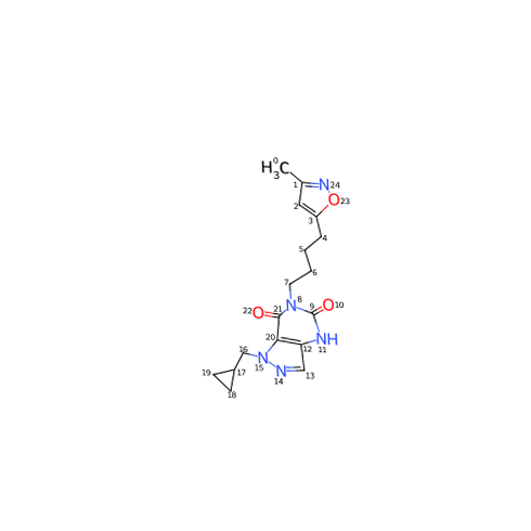 Cc1cc(CCCCn2c(=O)[nH]c3cnn(CC4CC4)c3c2=O)on1